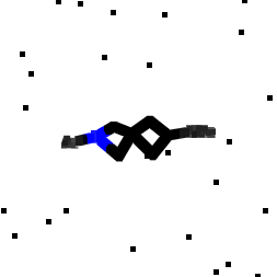 CNC1CC2(C1)CN(C(C)=O)C2